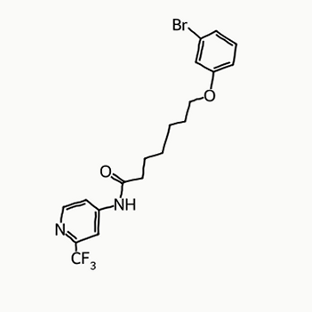 O=C(CCCCCCOc1cccc(Br)c1)Nc1ccnc(C(F)(F)F)c1